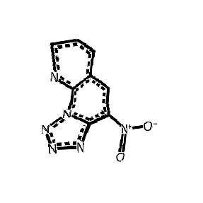 O=[N+]([O-])c1cc2cccnc2n2nnnc12